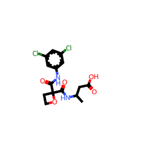 CC(CC(=O)O)NC(=O)C1(C(=O)Nc2cc(Cl)cc(Cl)c2)CCO1